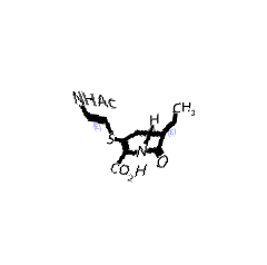 C/C=C1/C(=O)N2C(C(=O)O)=C(S/C=C/NC(C)=O)C[C@H]12